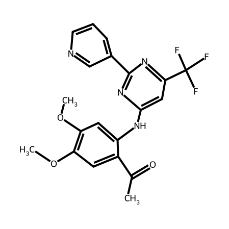 COc1cc(Nc2cc(C(F)(F)F)nc(-c3cccnc3)n2)c(C(C)=O)cc1OC